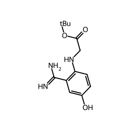 CC(C)(C)OC(=O)CNc1ccc(O)cc1C(=N)N